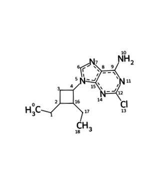 CCC1CC(n2cnc3c(N)nc(Cl)nc32)C1CC